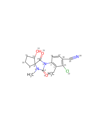 Cc1c(N2C(=O)N(C)C3(CCCC3O)C2=O)ccc(C#N)c1Cl